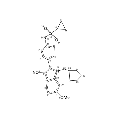 COc1ccc2c(C#N)c(-c3ccc(NS(=O)(=O)C4CC4)cc3)n(CC3CCCC3)c2c1